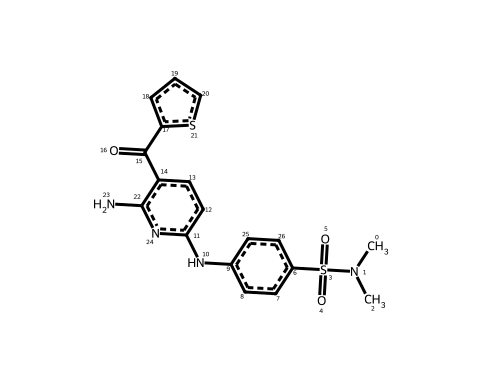 CN(C)S(=O)(=O)c1ccc(Nc2ccc(C(=O)c3cccs3)c(N)n2)cc1